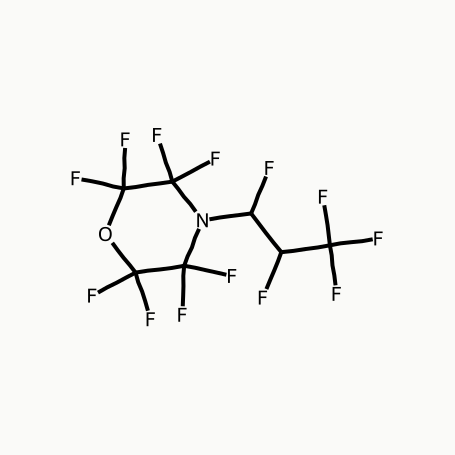 FC(C(F)C(F)(F)F)N1C(F)(F)C(F)(F)OC(F)(F)C1(F)F